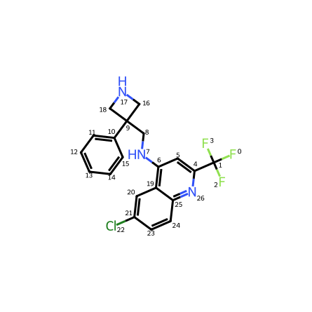 FC(F)(F)c1cc(NCC2(c3ccccc3)CNC2)c2cc(Cl)ccc2n1